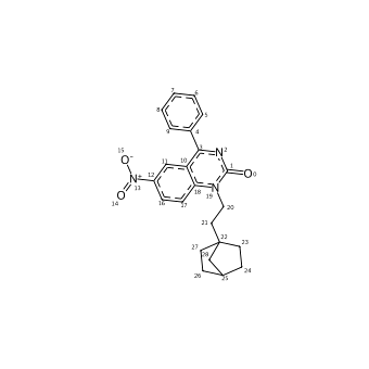 O=c1nc(-c2ccccc2)c2cc([N+](=O)[O-])ccc2n1CCC12CCC(CC1)C2